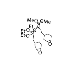 CCO[Si](CCC1CCC2OC2C1)(OCC)OCC.CO[SiH](CCCC1CCC2OC2C1)OC